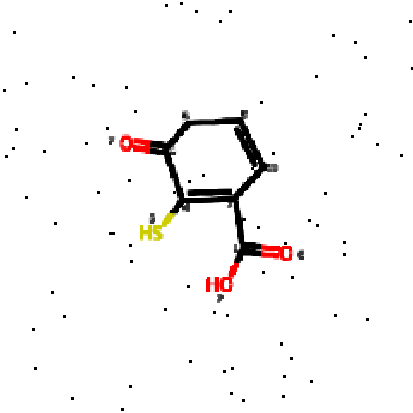 O=C(O)C1=C(S)C(=O)CC=C1